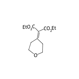 CCOC(=O)C(C(=O)OCC)=C1CCOCC1